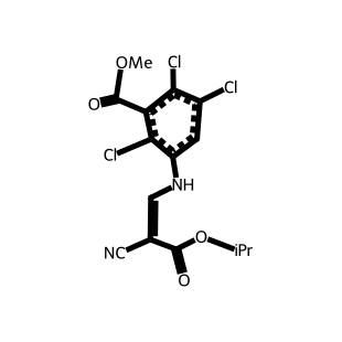 COC(=O)c1c(Cl)c(Cl)cc(NC=C(C#N)C(=O)OC(C)C)c1Cl